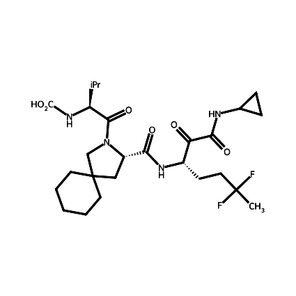 CC(C)[C@H](NC(=O)O)C(=O)N1CC2(CCCCC2)C[C@H]1C(=O)N[C@@H](CCC(C)(F)F)C(=O)C(=O)NC1CC1